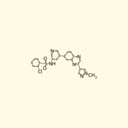 Cn1cc(-c2cnc3ccc(-c4cncc(NS(=O)(=O)c5ccccc5Cl)c4)cc3n2)cn1